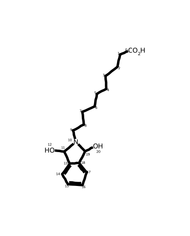 O=C(O)CCCCCCCCCN1C(O)c2ccccc2C1O